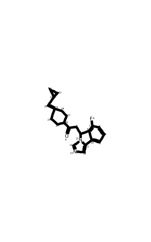 O=C(CC1c2c(F)cccc2-c2cncn21)C1CCC(=CC2CC2)CC1